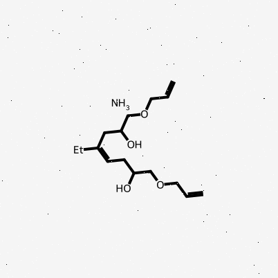 C=CCOCC(O)CC=C(CC)CC(O)COCC=C.N